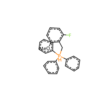 COc1cccc(F)c1C[PH](c1ccccc1)(c1ccccc1)c1ccccc1